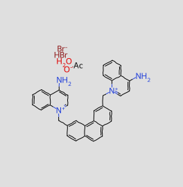 Br.CC(=O)[O-].Nc1cc[n+](Cc2ccc3ccc4ccc(C[n+]5ccc(N)c6ccccc65)cc4c3c2)c2ccccc12.O.[Br-]